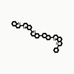 c1ccc(-c2ccc3ccc4ccc(-c5ccc6cc(-c7ccc8ccc(-c9ccc%10ccc(-c%11ccc%12ccccc%12n%11)nc%10c9)nc8c7)ccc6c5)nc4c3n2)cc1